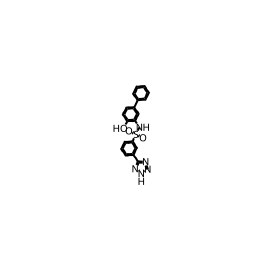 O=S(=O)(Nc1cc(-c2ccccc2)ccc1O)c1cccc(-c2nn[nH]n2)c1